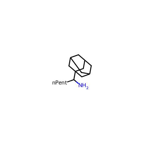 CCCCCC(N)C12CC3CC(CC(C3)C1)C2